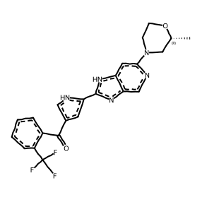 C[C@@H]1CN(c2cc3[nH]c(-c4cc(C(=O)c5ccccc5C(F)(F)F)c[nH]4)nc3cn2)CCO1